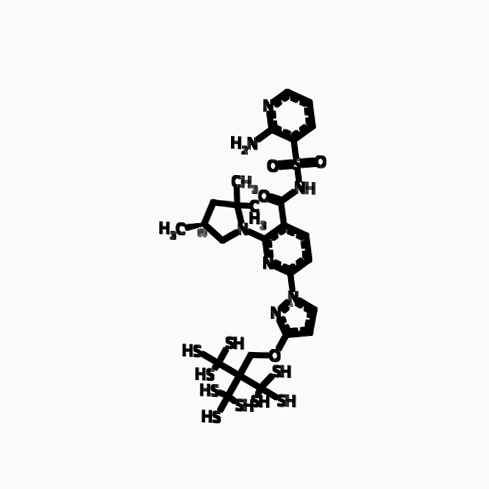 C[C@@H]1CN(c2nc(-n3ccc(OCC(C(S)(S)S)(C(S)(S)S)C(S)(S)S)n3)ccc2C(=O)NS(=O)(=O)c2cccnc2N)C(C)(C)C1